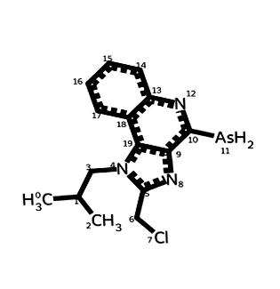 CC(C)Cn1c(CCl)nc2c([AsH2])nc3ccccc3c21